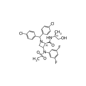 C[C@@H](CO)NC(=O)[C@H]1C(N(c2cc(F)cc(F)c2)S(C)(=O)=O)CN1C(c1ccc(Cl)cc1)c1ccc(Cl)cc1